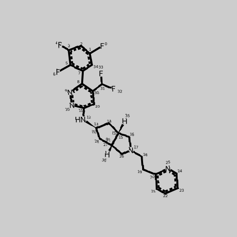 Fc1cc(F)c(F)c(-c2nnc(N[C@H]3C[C@@H]4CN(CCc5ccccn5)C[C@@H]4C3)cc2C(F)F)c1